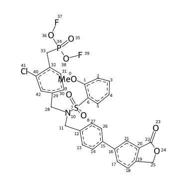 COc1ccccc1S(=O)(=O)N(Cc1ccc(-c2ccc3c(c2)C(=O)OC3)cc1)Cc1ccc(CP(=O)(OF)OF)c(Cl)c1